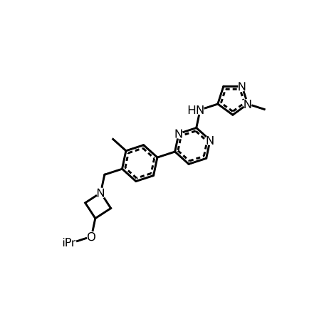 Cc1cc(-c2ccnc(Nc3cnn(C)c3)n2)ccc1CN1CC(OC(C)C)C1